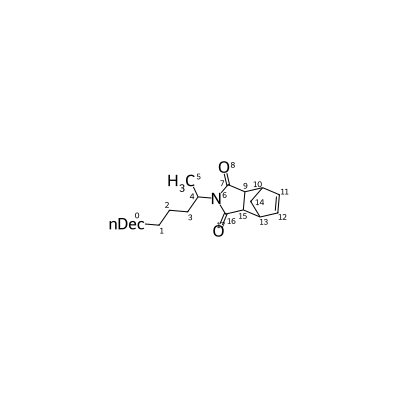 CCCCCCCCCCCCCC(C)N1C(=O)C2C3C=CC(C3)C2C1=O